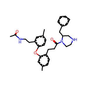 CC(=O)NCCc1cc(C)ccc1Oc1cc(C)ccc1CCC(=O)N1CCNCC1Cc1ccccc1